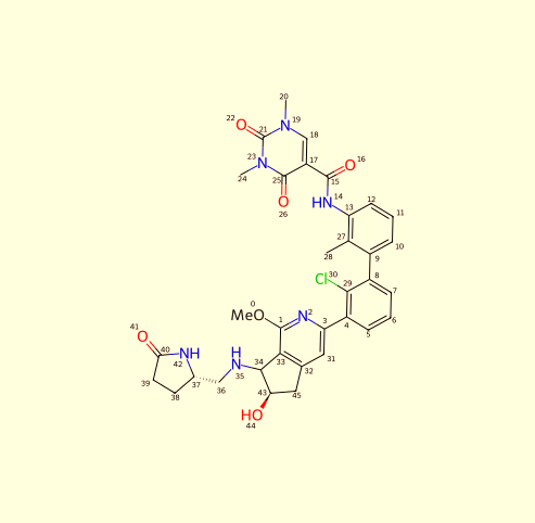 COc1nc(-c2cccc(-c3cccc(NC(=O)c4cn(C)c(=O)n(C)c4=O)c3C)c2Cl)cc2c1C(NC[C@@H]1CCC(=O)N1)[C@H](O)C2